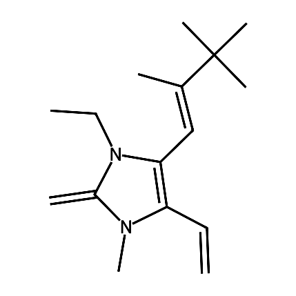 C=CC1=C(/C=C(\C)C(C)(C)C)N(CC)C(=C)N1C